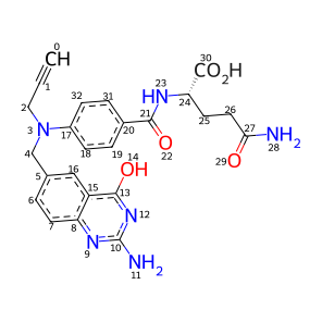 C#CCN(Cc1ccc2nc(N)nc(O)c2c1)c1ccc(C(=O)N[C@@H](CCC(N)=O)C(=O)O)cc1